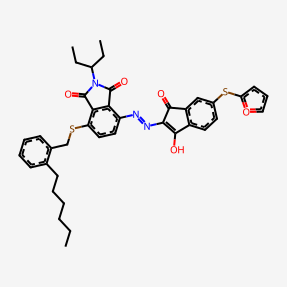 CCCCCCc1ccccc1CSc1ccc(N=NC2=C(O)c3ccc(Sc4ccco4)cc3C2=O)c2c1C(=O)N(C(CC)CC)C2=O